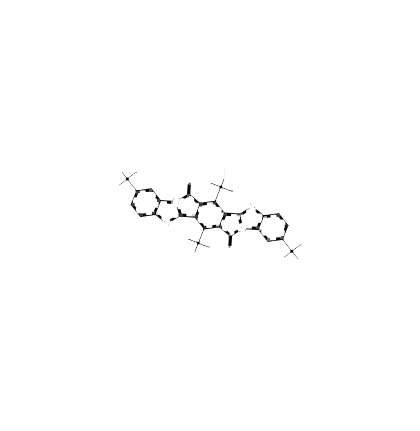 O=c1c2c(C(F)(F)F)c3c(c(C(F)(F)F)c2c2nc4ccc(C(F)(F)F)cc4n12)c(=O)n1c2cc(C(F)(F)F)ccc2nc31